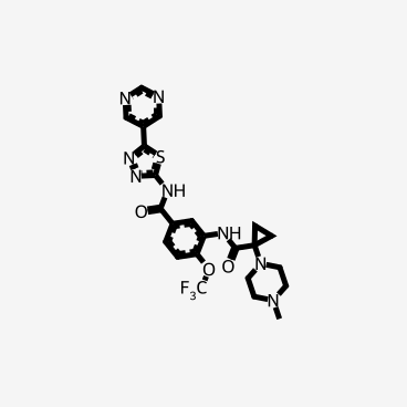 CN1CCN(C2(C(=O)Nc3cc(C(=O)Nc4nnc(-c5cncnc5)s4)ccc3OC(F)(F)F)CC2)CC1